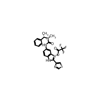 C[C@@H](c1ccccc1)N(C)C(=O)Nc1ccc2[nH]c(-c3cscn3)[n+](OC(=O)C(F)(F)F)c2c1